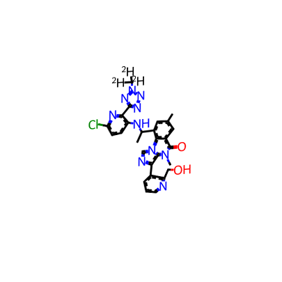 [2H]C([2H])([2H])n1nnc(-c2nc(Cl)ccc2NC(C)c2cc(C)cc3c(=O)n(C)c4c(-c5cccnc5CO)ncn4c23)n1